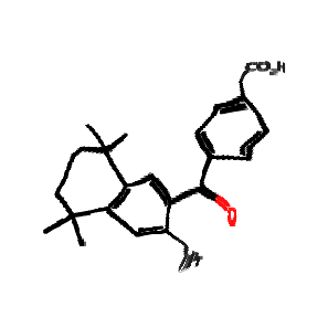 CCCc1cc2c(cc1C(=O)c1ccc(C(=O)O)cc1)C(C)(C)CCC2(C)C